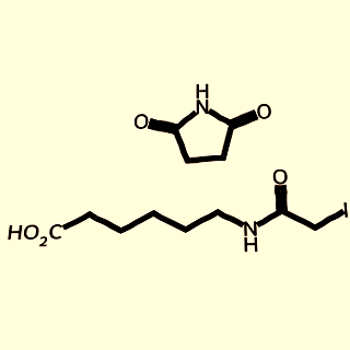 O=C(O)CCCCCNC(=O)CI.O=C1CCC(=O)N1